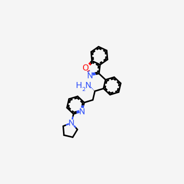 N[C@@H](Cc1cccc(N2CCCC2)n1)c1ccccc1-c1noc2ccccc12